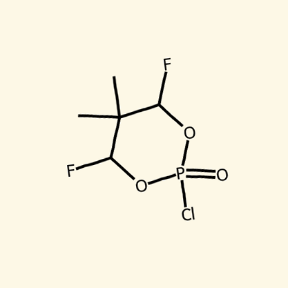 CC1(C)C(F)OP(=O)(Cl)OC1F